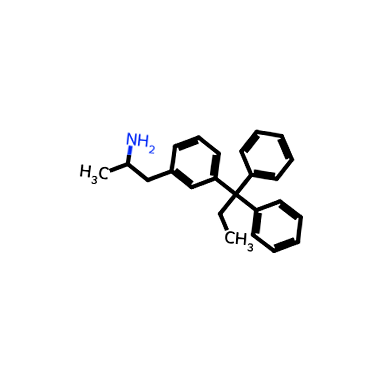 CCC(c1ccccc1)(c1ccccc1)c1cccc(CC(C)N)c1